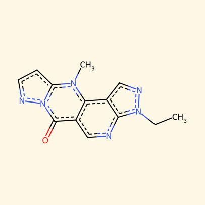 CCn1ncc2c1ncc1c(=O)n3nccc3n(C)c12